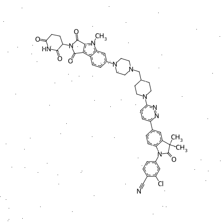 Cn1c2c(c3ccc(N4CCN(CC5CCN(c6ccc(-c7ccc8c(c7)C(C)(C)C(=O)N8c7ccc(C#N)c(Cl)c7)nn6)CC5)CC4)cc31)C(=O)N(C1CCC(=O)NC1=O)C2=O